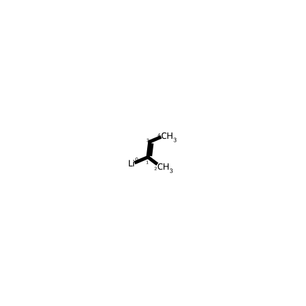 [Li][C](C)=CC